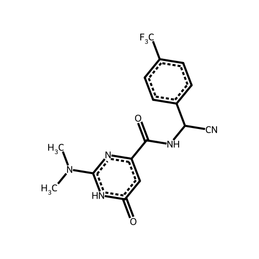 CN(C)c1nc(C(=O)NC(C#N)c2ccc(C(F)(F)F)cc2)cc(=O)[nH]1